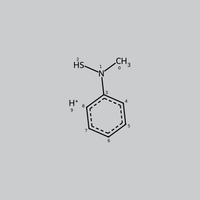 CN(S)c1ccccc1.[H+]